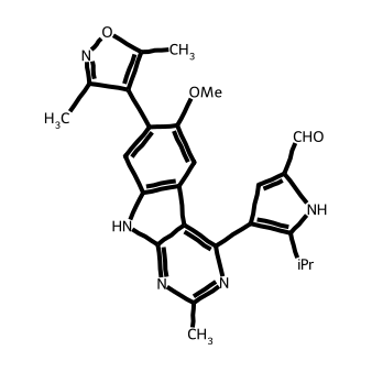 COc1cc2c(cc1-c1c(C)noc1C)[nH]c1nc(C)nc(-c3cc(C=O)[nH]c3C(C)C)c12